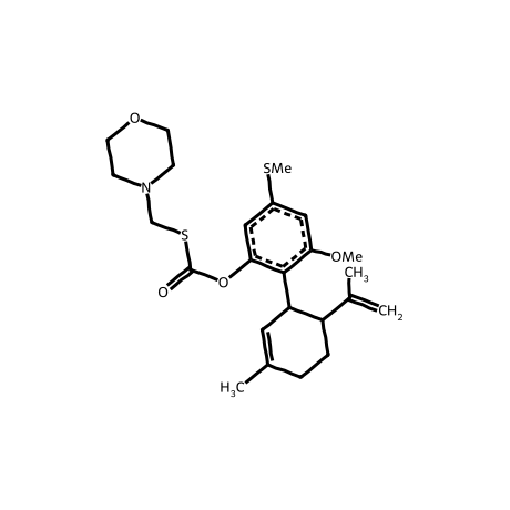 C=C(C)C1CCC(C)=CC1c1c(OC)cc(SC)cc1OC(=O)SCN1CCOCC1